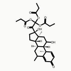 CCC(=O)OC(OC(=O)CC)(OC(=O)CC)C(=O)[C@@]1(O)CC[C@H]2[C@@H]3CC(C)C4=CC(=O)C=C[C@]4(C)[C@H]3C(O)C[C@@]21C